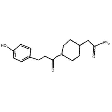 NC(=O)CC1CCN(C(=O)[CH]Cc2ccc(O)cc2)CC1